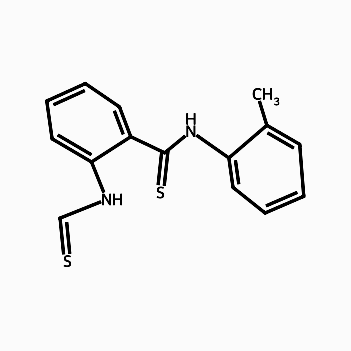 Cc1ccccc1NC(=S)c1ccccc1NC=S